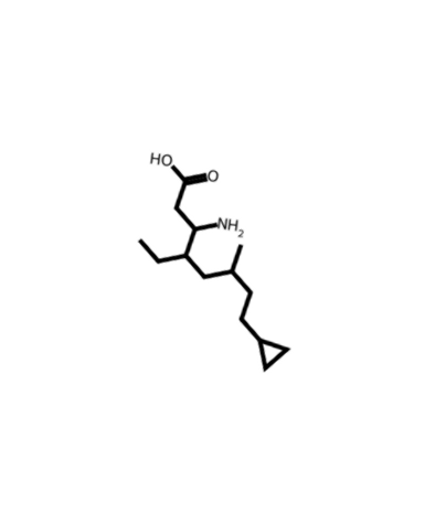 CCC(CC(C)CCC1CC1)C(N)CC(=O)O